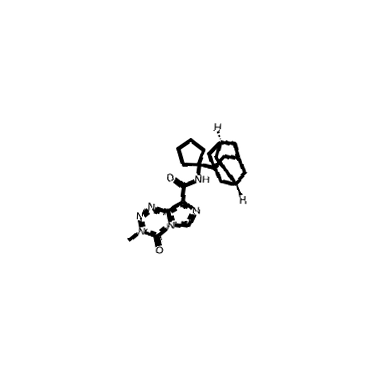 Cn1nnc2c(C(=O)NC3(C45CC6C[C@H](C4)C[C@H](C6)C5)CCCC3)ncn2c1=O